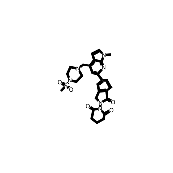 Cn1ccc2c(CN3CCN(S(C)(=O)=O)CC3)cc(-c3ccc4c(c3)CN(N3C(=O)CCCC3=O)C4=O)nc21